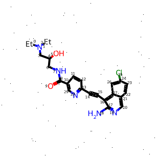 CCN(CC)CC(O)CNC(=O)c1ccc(C#Cc2c(N)ncc3ccc(Cl)cc23)nc1